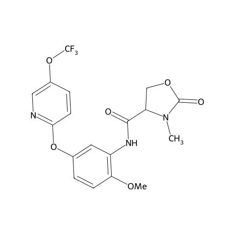 COc1ccc(Oc2ccc(OC(F)(F)F)cn2)cc1NC(=O)C1COC(=O)N1C